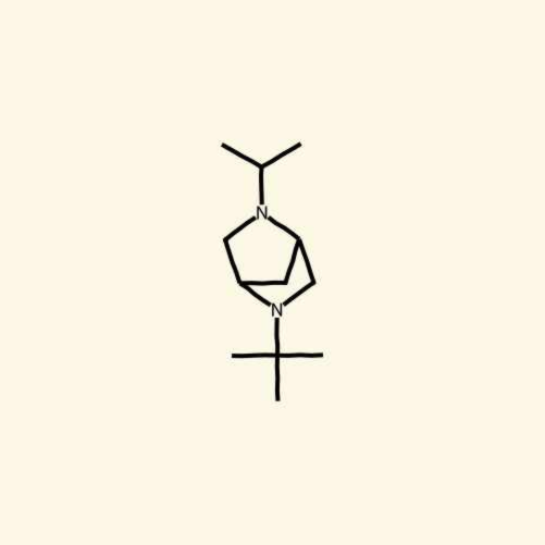 CC(C)N1CC2CC1CN2C(C)(C)C